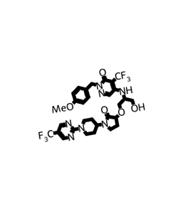 COc1ccc(Cn2ncc(NC(CO)COC3CCN(C4CCN(c5ncc(C(F)(F)F)cn5)CC4)C3=O)c(C(F)(F)F)c2=O)cc1